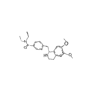 CCN(CC)C(=O)c1ccc(CC2NCCc3cc(OC)c(OC)cc32)cc1